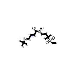 C=CS(=O)(=O)C(C)(C)CCN(C)C(=O)/C=C/CNC(C)(C)C